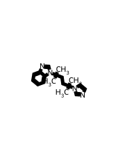 CC(C)(CCC(C)(C)n1cnc2ccccc21)n1ccnc1